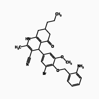 CCCC1CC(=O)C2=C(C1)NC(C)=C(C#N)C2c1cc(Br)c(OCc2ccccc2N)c(OC)c1